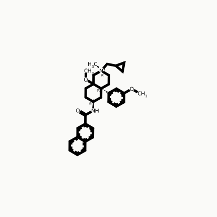 COc1cccc([C@@]23CC[N@+](C)(CC4CC4)CC2(OC)CC[C@H](NC(=O)c2ccc4ccccc4c2)C3)c1